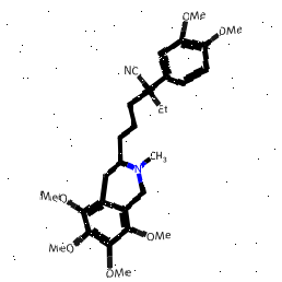 CCC(C#N)(CCCC1Cc2c(c(OC)c(OC)c(OC)c2OC)CN1C)c1ccc(OC)c(OC)c1